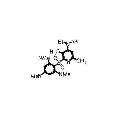 CCCN(CC)c1cc(C)nc(S(=O)(=O)c2c(NC)cc(NC)cc2NC)c1C